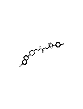 O=C(NCCC1CCN(c2ccc3cc(Cl)ccc3n2)CC1)OCc1nnc(-c2ccc(F)cc2)o1